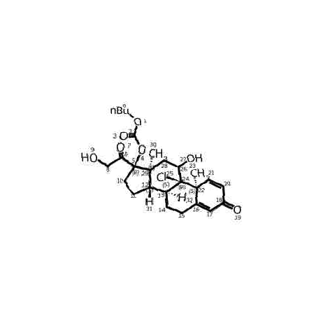 CCCCOC(=O)O[C@]1(C(=O)CO)CC[C@H]2[C@@H]3CCC4=CC(=O)C=C[C@]4(C)[C@@]3(Cl)C(O)C[C@@]21C